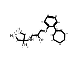 CCC(C)(CC)NCC(O)COc1ccccc1C1CCCCCC1